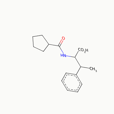 CC(c1ccccc1)C(NC(=O)C1CCCC1)C(=O)O